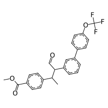 COC(=O)c1ccc(C(C)C(C=O)c2cccc(-c3ccc(OC(F)(F)F)cc3)c2)cc1